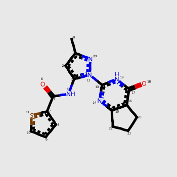 Cc1cc(NC(=O)c2cccs2)n(-c2nc3c(c(=O)[nH]2)CCC3)n1